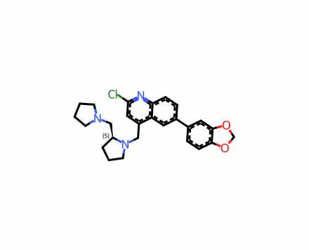 Clc1cc(CN2CCC[C@H]2CN2CCCC2)c2cc(-c3ccc4c(c3)OCO4)ccc2n1